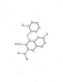 CCOC(=O)c1c(N(CC)CC)nc2ccc(Cl)cc2c1Cc1ccccc1Cl